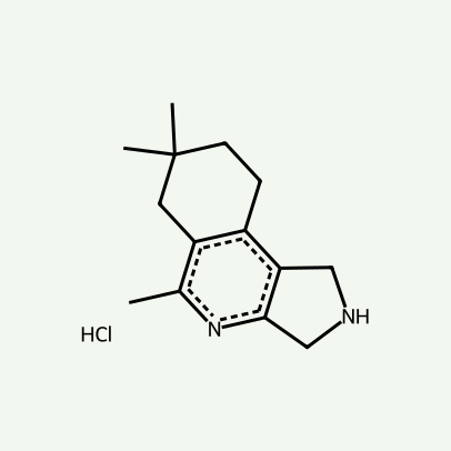 Cc1nc2c(c3c1CC(C)(C)CC3)CNC2.Cl